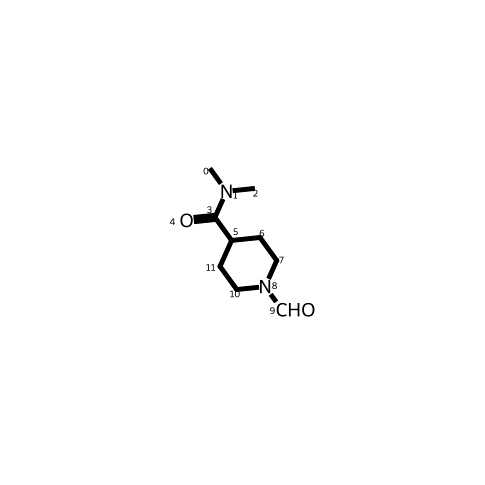 CN(C)C(=O)C1CCN(C=O)CC1